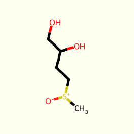 C[S+]([O-])CCC(O)CO